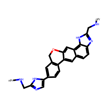 CCCNCc1ncc(-c2ccc3c(c2)COc2cc4c(ccc5nc(CNCCC)[nH]c54)cc2-3)[nH]1